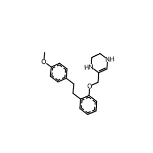 COc1ccc(CCc2ccccc2OCC2=CNCCN2)cc1